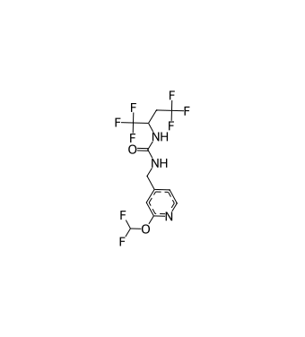 O=C(NCc1ccnc(OC(F)F)c1)NC(CC(F)(F)F)C(F)(F)F